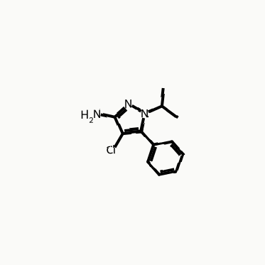 CC(C)n1nc(N)c(Cl)c1-c1ccccc1